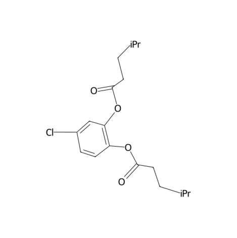 CC(C)CCC(=O)Oc1ccc(Cl)cc1OC(=O)CCC(C)C